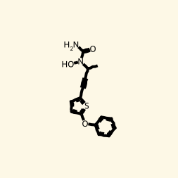 CC(C#Cc1ccc(Oc2ccccc2)s1)N(O)C(N)=O